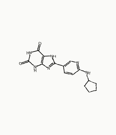 O=c1[nH]c(=O)c2[nH]c(-c3ccc(NC4CCCC4)nc3)nc2[nH]1